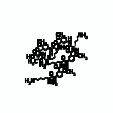 COc1ccc(NC(=O)[C@H](CCCCN)NC(=O)c2cc(NC(=O)[C@@H](N)CCCCCN)ccc2OC)cc1C(=O)N[C@@H](CCCCN)C(=O)Nc1ccc(OC)c(C(=O)N[C@@H](CCCCN)C(=O)Nc2ccc(OC)c(C(=O)N[C@H](C(=O)O)C(C)C)c2)c1